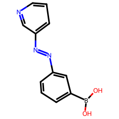 OB(O)c1cccc(/N=N/c2cccnc2)c1